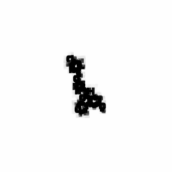 COc1cc(N2CCOCC2)c(C(=O)Nc2nnc(OCc3ccc(Cl)cn3)s2)cn1